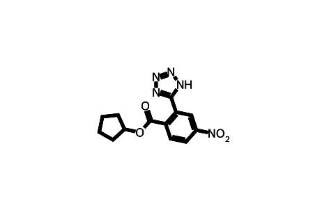 O=C(OC1CCCC1)c1ccc([N+](=O)[O-])cc1-c1nnn[nH]1